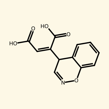 O=C(O)/C=C(\C(=O)O)C1C=NOc2ccccc21